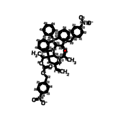 C=CC(=S)CC1(C(C)OC(=O)OCc2ccc([N+](=O)[O-])cc2)C(=O)N(C(C(=O)OCc2ccc([N+](=O)[O-])cc2)=P(c2ccccc2)(c2ccccc2)c2ccccc2)C1NC(C)=O